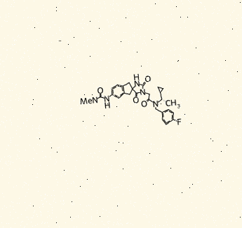 CNC(=O)Nc1ccc2c(c1)CC1(C2)NC(=O)N(CC(=O)N(Cc2ccc(F)cc2)[C@@H](C)C2CC2)C1=O